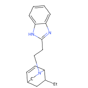 CCC1CC2C=CC1N(CCc1nc3ccccc3[nH]1)C2